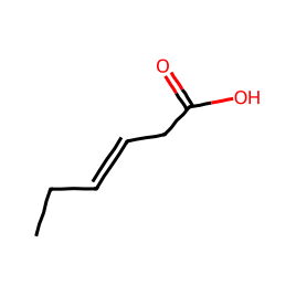 CCC=CCC(=O)O